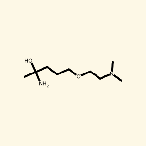 CN(C)CCOCCCC(C)(N)O